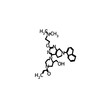 C=CC(=O)N1CCN(c2nc(OCCN(C)C)nc3c2CCN(c2cccc4ccccc24)C3)C(CO)C1